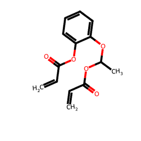 C=CC(=O)Oc1ccccc1OC(C)OC(=O)C=C